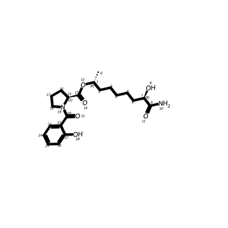 C[C@H](CCCCC[C@@H](O)C(N)=O)OC(=O)[C@@H]1CCCN1C(=O)c1ccccc1O